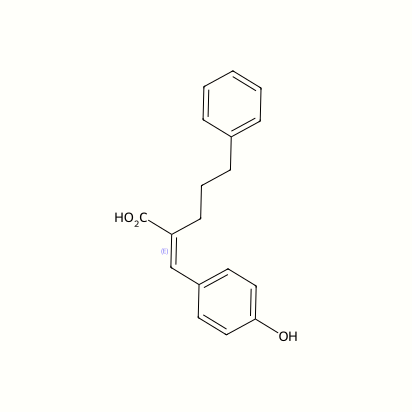 O=C(O)/C(=C/c1ccc(O)cc1)CCCc1ccccc1